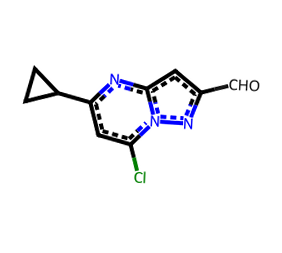 O=Cc1cc2nc(C3CC3)cc(Cl)n2n1